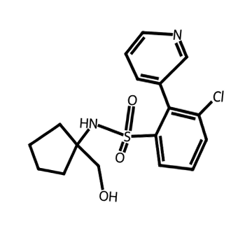 O=S(=O)(NC1(CO)CCCC1)c1cccc(Cl)c1-c1cccnc1